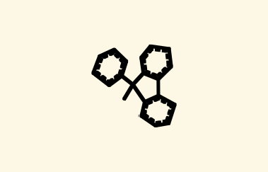 CC1(c2ccccc2)c2[c]cccc2-c2ccccc21